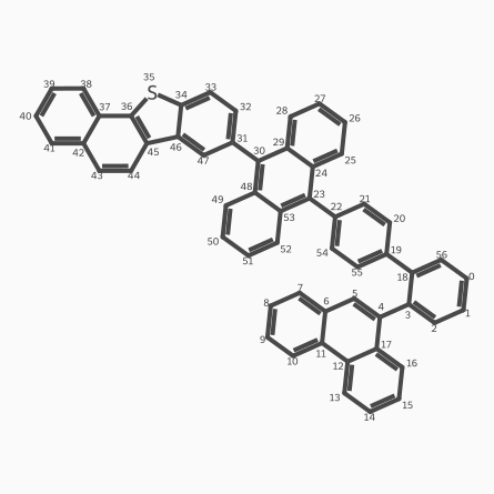 c1ccc(-c2cc3ccccc3c3ccccc23)c(-c2ccc(-c3c4ccccc4c(-c4ccc5sc6c7ccccc7ccc6c5c4)c4ccccc34)cc2)c1